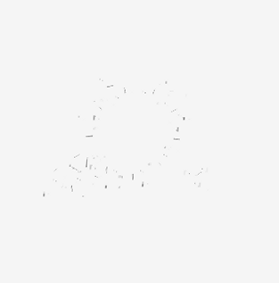 CC[C@H](C)[C@@H]1NC(=O)[C@@H](CCCNC(=N)N)NC(=O)[C@H](CC(C)C)NC(=O)[C@H]([C@H](O)C(C)C)NC(=O)[C@@H](NC(=O)[C@H](CC(C)C)NC(=O)[C@](C)(CC(C)C)NC(=O)OC(C)(C)C)[C@@H](c2ccccc2)OC(=O)[C@H](CO)NC(=O)[C@H]([C@H](O)C(N)=O)NC(=O)CNC(=O)[C@H]([C@H](C)O)NC1=O